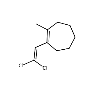 CC1=C(C=C(Cl)Cl)CCCCC1